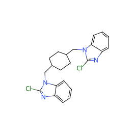 Clc1nc2ccccc2n1CC1CCC(Cn2c(Cl)nc3ccccc32)CC1